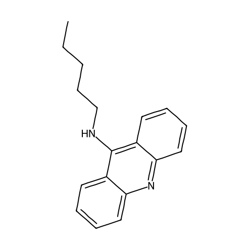 CCCCCNc1c2ccccc2nc2ccccc12